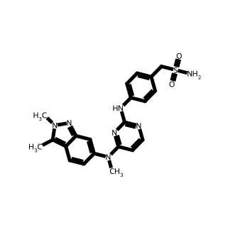 Cc1c2ccc(N(C)c3ccnc(Nc4ccc(CS(N)(=O)=O)cc4)n3)cc2nn1C